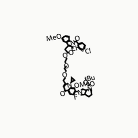 COc1ccc2c(c1)c(CC(=O)OCCOCCOCCc1cc(=O)c3cc(F)c(N4CC5CCCN(C(=O)OC(C)(C)C)C5C4)c(OC)c3n1C1CC1)c(C)n2C(=O)c1ccc(Cl)cc1